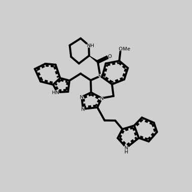 COc1ccc(Cn2c(CCc3c[nH]c4ccccc34)nnc2C(Cc2c[nH]c3ccccc23)NC(=O)[C@H]2CCCCN2)cc1